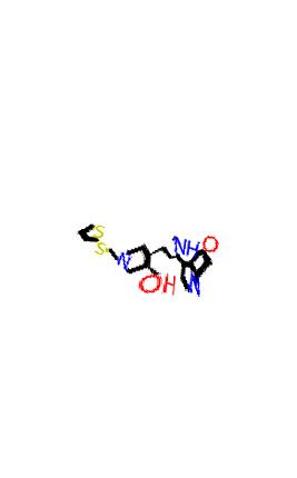 CN[C@H](CC[C@@H]1CCN(CCSc2cccs2)C[C@@H]1CO)c1ccnc2ccc(OC)cc12